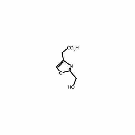 O=C(O)Cc1coc(CO)n1